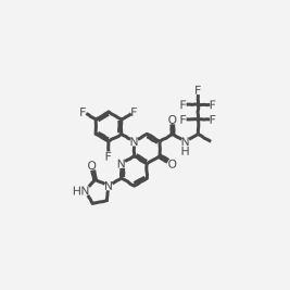 CC(NC(=O)c1cn(-c2c(F)cc(F)cc2F)c2nc(N3CCNC3=O)ccc2c1=O)C(F)(F)C(F)(F)F